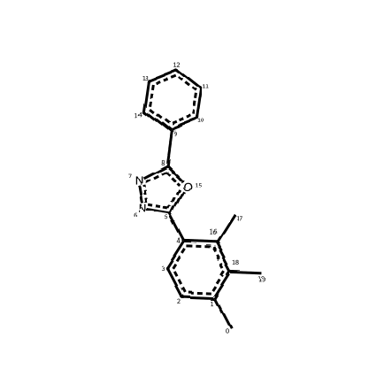 Cc1ccc(-c2nnc(-c3ccccc3)o2)c(C)c1C